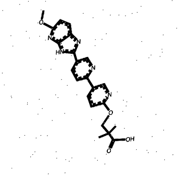 COc1ccc2nc(-c3ccc(-c4ccc(OCC(C)(C)C(=O)O)nc4)nc3)[nH]c2n1